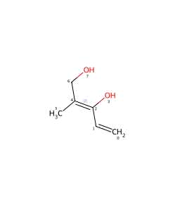 C=C/C(O)=C(\C)CO